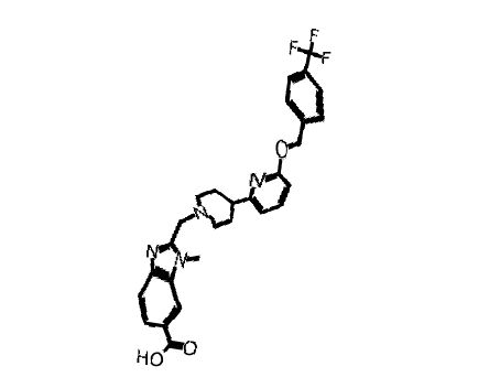 Cn1c(CN2CCC(c3cccc(OCc4ccc(C(F)(F)F)cc4)n3)CC2)nc2ccc(C(=O)O)cc21